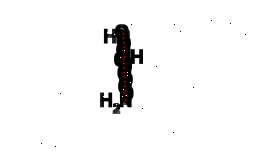 NCCOCCOCCOCCOCCOCCC(=O)NCCOCCOCCNC=O